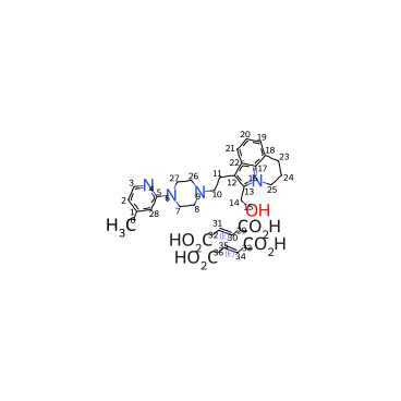 Cc1ccnc(N2CCN(CCc3c(CO)n4c5c(cccc35)CCC4)CC2)c1.O=C(O)/C=C/C(=O)O.O=C(O)/C=C/C(=O)O